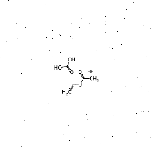 C=COC(C)=O.F.O=C(O)O